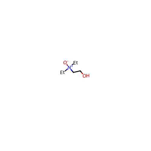 CC[N+]([O-])(CC)CCO